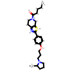 CC1CCCN1CCCOc1ccc(-c2nc3c(s2)CN(C(=O)CCCC(F)(F)F)CC3)cc1